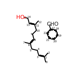 CC(C)=CCCC(C)=CCCC(C)=CCO.O=Cc1ccccc1